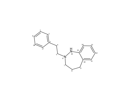 c1ccc(CCN2CCCc3ccccc3N2)cc1